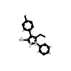 CCc1c(-c2ccc(C)cc2)c(O)nn1-c1ccccc1